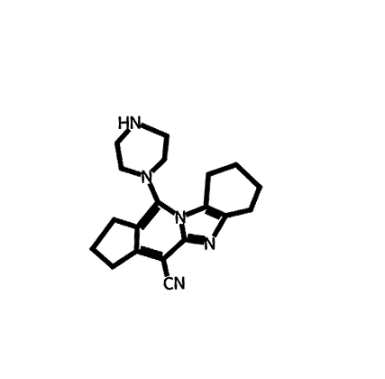 N#Cc1c2c(c(N3CCNCC3)n3c4c(nc13)CCCC4)CCC2